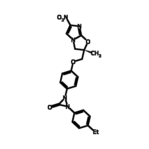 CCc1ccc(N2C(=O)N2c2ccc(OC[C@@]3(C)Cn4cc([N+](=O)[O-])nc4O3)cc2)cc1